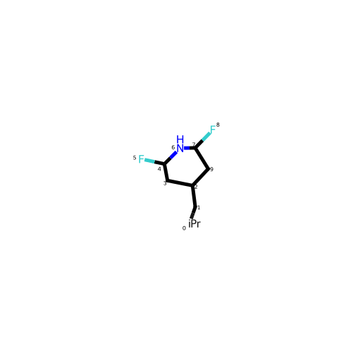 CC(C)CC1CC(F)NC(F)C1